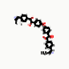 C/C=C\c1ccc(C(=O)C(=O)c2ccc(Oc3ccc(C(=O)C(=O)c4ccc(/C=C\C)cc4)cc3)cc2)cc1